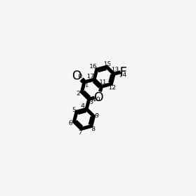 O=c1cc(-c2ccccc2)oc2cc(F)ccc12